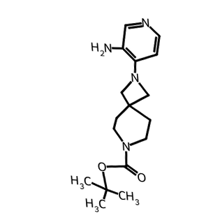 CC(C)(C)OC(=O)N1CCC2(CC1)CN(c1ccncc1N)C2